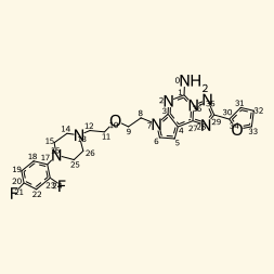 Nc1nc2c(ccn2CCOCCN2CCN(c3ccc(F)cc3F)CC2)c2nc(-c3ccco3)nn12